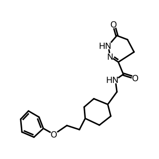 O=C1CCC(C(=O)NCC2CCC(CCOc3ccccc3)CC2)=NN1